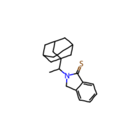 CC(N1Cc2ccccc2C1=S)C12CC3CC(CC(C3)C1)C2